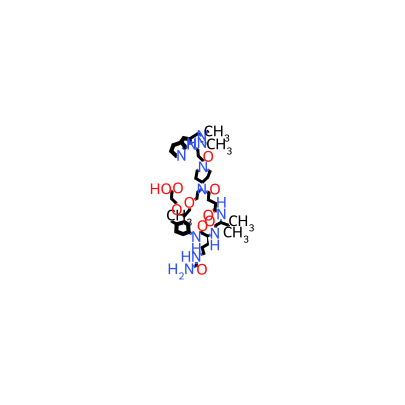 CCc1ccc(NC(=O)[C@H](CCCNC(N)=O)NC(=O)[C@@H](NC(=O)CCC(=O)N(CCOCCOCCC(=O)O)C2CCN(C(=O)CCn3c(CN(C)NC)cc4cccnc43)CC2)C(C)C)cc1